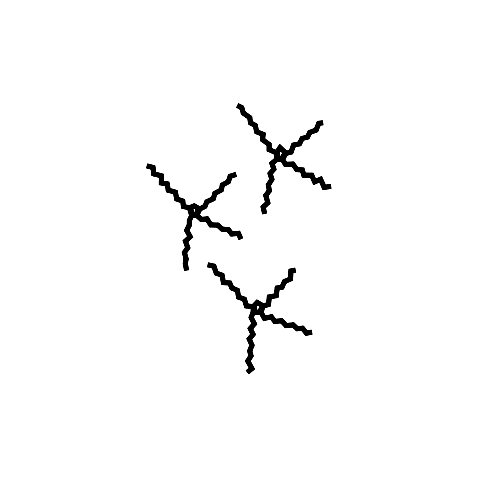 CCCCCCCCCCCC1=C(CCCCCCCCCC)C(CCCCCCCCC)=C(CCCCCCCCC)C1.CCCCCCCCCCCC1=C(CCCCCCCCCC)C(CCCCCCCCCC)=C(CCCCCCCCC)C1.CCCCCCCCCCCC1=C(CCCCCCCCCCC)C(CCCCCCCCCC)=C(CCCCCCCCC)C1